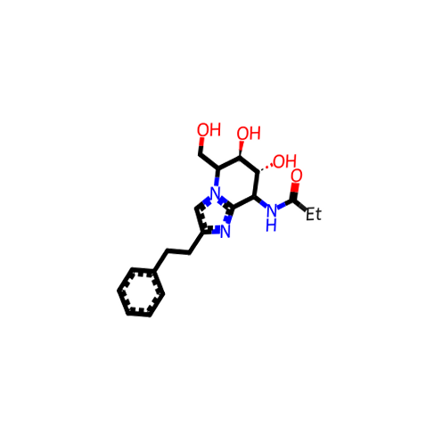 CCC(=O)NC1c2nc(CCc3ccccc3)cn2C(CO)[C@@H](O)[C@@H]1O